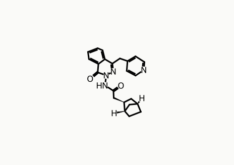 O=C(C[C@H]1C[C@@H]2CC[C@H]1C2)Nn1nc(Cc2ccncc2)c2ccccc2c1=O